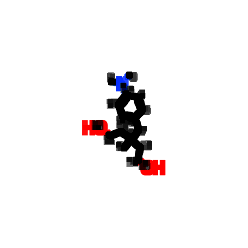 CN(C)c1ccc(CC(C)(CCO)CCO)cc1